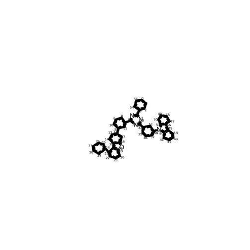 c1ccc(-c2nc(-c3cccc(-c4ccc5c(c4)oc4cccc(-c6ccccc6)c45)c3)nc(-c3cccc(-n4c5ccccc5c5ccccc54)c3)n2)cc1